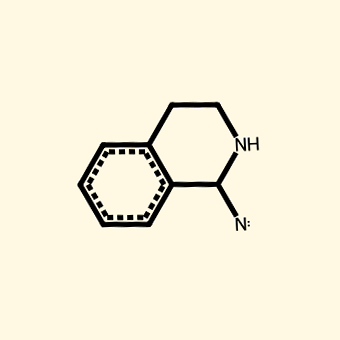 [N]C1NCCc2ccccc21